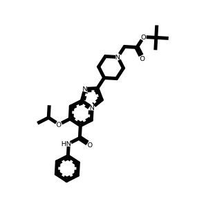 CC(C)Oc1cc2nc(C3CCN(CC(=O)OC(C)(C)C)CC3)cn2cc1C(=O)Nc1ccccc1